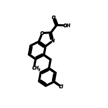 Cc1ccc2oc(C(=O)O)nc2c1Cc1cccc(Cl)c1